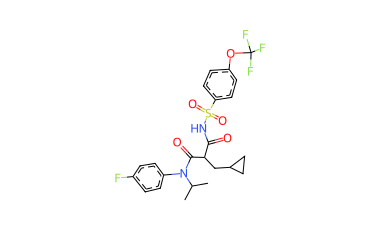 CC(C)N(C(=O)C(CC1CC1)C(=O)NS(=O)(=O)c1ccc(OC(F)(F)F)cc1)c1ccc(F)cc1